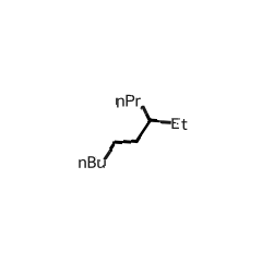 CC[CH]CCCC(CC)CCC